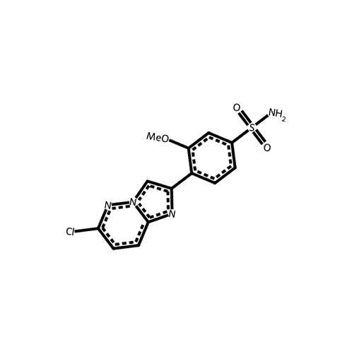 COc1cc(S(N)(=O)=O)ccc1-c1cn2nc(Cl)ccc2n1